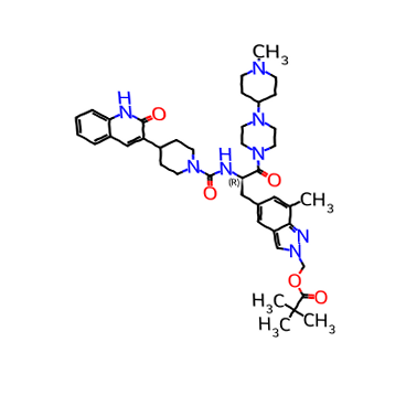 Cc1cc(C[C@@H](NC(=O)N2CCC(c3cc4ccccc4[nH]c3=O)CC2)C(=O)N2CCN(C3CCN(C)CC3)CC2)cc2cn(COC(=O)C(C)(C)C)nc12